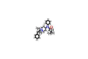 [2H]C([2H])([2H])CC(=O)N(c1ccccc1)C1CCN(C([2H])([2H])Cc2ccccc2)CC1